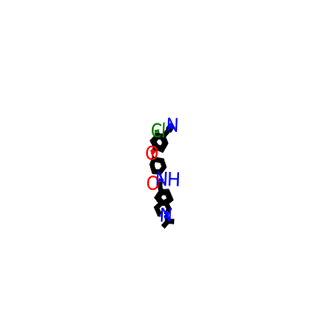 CC(C)N1CCc2cc(C(=O)N[C@H]3CC[C@H](Oc4ccc(C#N)c(Cl)c4)CC3)ccc2C1